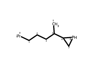 CC(C)CCCC(C)C1CP1